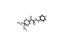 CC1(C)CC[C@@H](NC(=O)OCc2ccccc2)CO1